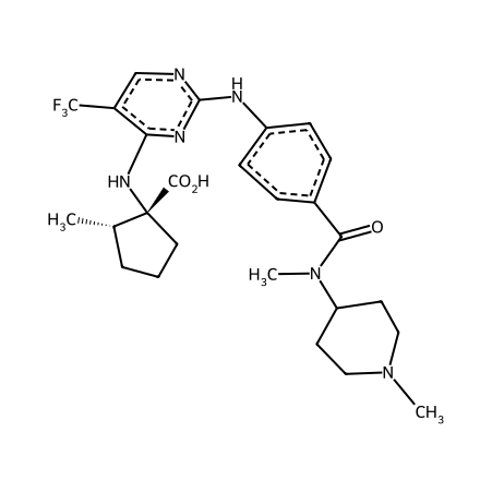 C[C@H]1CCC[C@]1(Nc1nc(Nc2ccc(C(=O)N(C)C3CCN(C)CC3)cc2)ncc1C(F)(F)F)C(=O)O